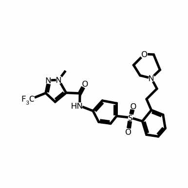 Cn1nc(C(F)(F)F)cc1C(=O)Nc1ccc(S(=O)(=O)c2ccccc2CCN2CCOCC2)cc1